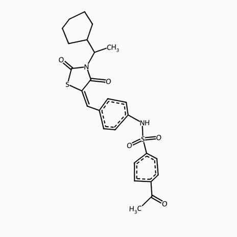 CC(=O)c1ccc(S(=O)(=O)Nc2ccc(/C=C3/SC(=O)N(C(C)C4CCCCC4)C3=O)cc2)cc1